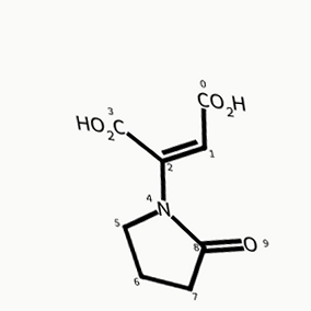 O=C(O)C=C(C(=O)O)N1CCCC1=O